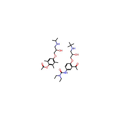 CC(=O)Oc1c(C)cc(OCC(O)CNC(C)C)c(C)c1C.CCN(CC)C(=O)Nc1ccc(OCC(O)CNC(C)(C)C)c(C(C)=O)c1